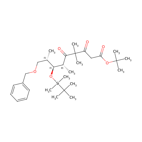 C[C@@H](COCc1ccccc1)[C@H](O[Si](C)(C)C(C)(C)C)[C@@H](C)C(=O)C(C)(C)C(=O)CC(=O)OC(C)(C)C